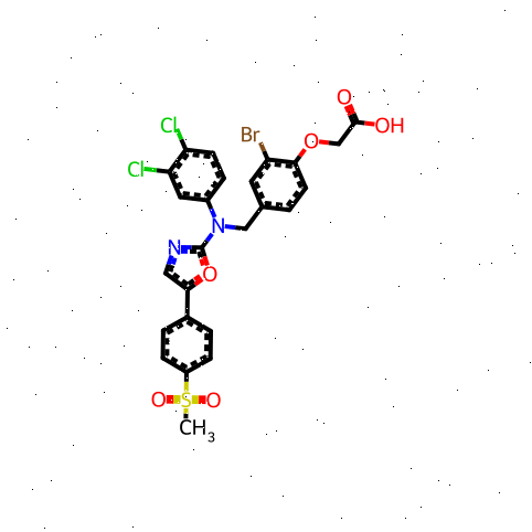 CS(=O)(=O)c1ccc(-c2cnc(N(Cc3ccc(OCC(=O)O)c(Br)c3)c3ccc(Cl)c(Cl)c3)o2)cc1